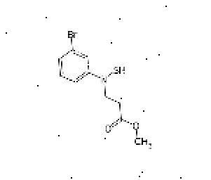 COC(=O)CCN(S)c1cccc(Br)c1